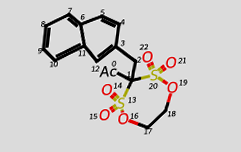 CC(=O)C1(Cc2ccc3ccccc3c2)S(=O)(=O)OCCOS1(=O)=O